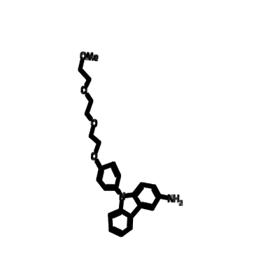 COCCOCCOCCOc1ccc(-n2c3ccccc3c3cc(N)ccc32)cc1